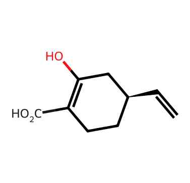 C=C[C@H]1CCC(C(=O)O)=C(O)C1